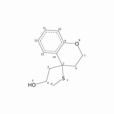 CSC1(CCO)CCOc2ccccc21